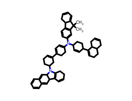 CC1(C)C2=CC=CCC2c2ccc(N(C3=CC=C(C4=CCCC(N5C6=C(C=CCC6)C6C=c7ccccc7=CC65)C4)CC3)C3C=CC(C4=CCCC5CC=CCC45)CC3)cc21